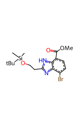 COC(=O)c1ccc(Br)c2nc(CCO[Si](C)(C)C(C)(C)C)[nH]c12